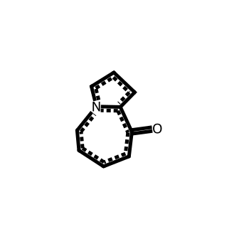 O=c1ccccn2cccc12